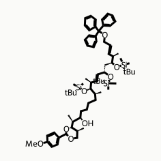 COc1ccc(C2OC[C@H](C)[C@@H]([C@@H](C)[C@H](O)CCCC[C@H](C)[C@@H](O[Si](C)(C)C(C)(C)C)[C@@H](C)C=C[C@H](C[C@H](O[Si](C)(C)C(C)(C)C)[C@H](C)C=CCOC(c3ccccc3)(c3ccccc3)c3ccccc3)O[Si](C)(C)C(C)(C)C)O2)cc1